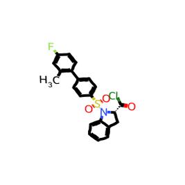 Cc1cc(F)ccc1-c1ccc(S(=O)(=O)N2c3ccccc3C[C@H]2C(=O)Cl)cc1